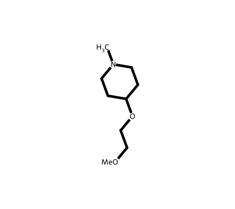 COCCOC1CCN(C)CC1